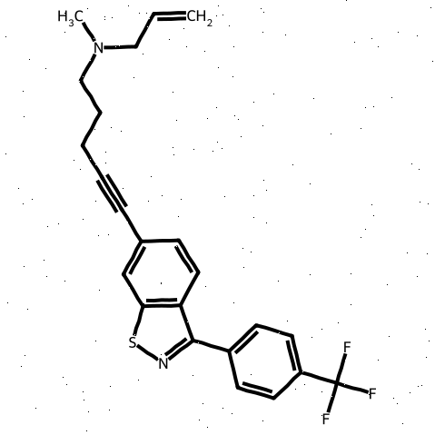 C=CCN(C)CCCC#Cc1ccc2c(-c3ccc(C(F)(F)F)cc3)nsc2c1